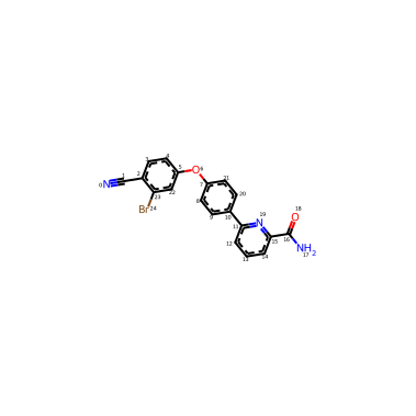 N#Cc1ccc(Oc2ccc(-c3cccc(C(N)=O)n3)cc2)cc1Br